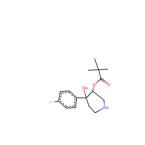 CC(C)(C)C(=O)OC1CNCCC1(O)c1ccc(F)cc1